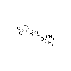 CC(C)OCCOC(=O)Cc1ccc2c(c1)OCO2